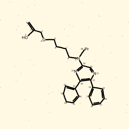 C=C(O)COCCCCN(c1cnc(-c2ccccc2)c(C2=CCCC=C2)n1)C(C)C